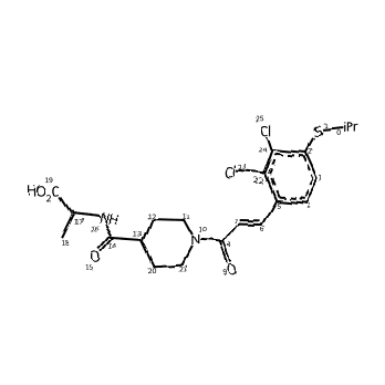 CC(C)Sc1ccc(C=CC(=O)N2CCC(C(=O)NC(C)C(=O)O)CC2)c(Cl)c1Cl